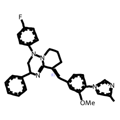 COc1cc(/C=C2\CCCN3C2=NC(c2ccccc2)CN3c2ccc(F)cc2)ccc1-n1cnc(C)c1